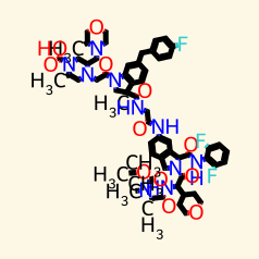 CC1COCCN1CC1CN(C(=O)O)C(C)CN1CC(=O)N1CC(C)(C(=O)NCC(=O)Nc2ccc3c(c2)C(C(=O)Nc2c(F)cccc2F)N(C(=O)C(NC(=O)C(C)N(C)C(=O)OC(C)(C)C)C2CCOCC2)C3)c2ccc(Cc3ccc(F)cc3)cc21